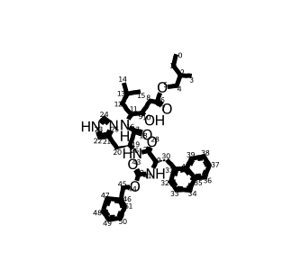 CCC(C)COC(=O)CC(O)C(CC(C)C)NC(=O)[C@H](Cc1c[nH]cn1)NC(=O)[C@H](Cc1cccc2ccccc12)NC(=O)OCc1ccccc1